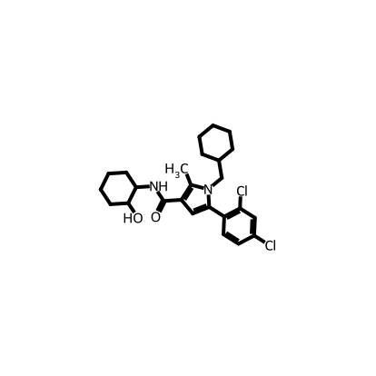 Cc1c(C(=O)NC2CCCCC2O)cc(-c2ccc(Cl)cc2Cl)n1CC1CCCCC1